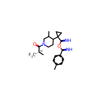 Cc1ccc(C(=N)OC(=N)C2(C3CCN(C(=O)[C@H](C)C(F)(F)F)CC3C)CC2)cc1